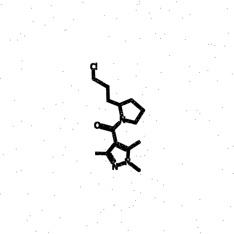 Cc1nn(C)c(C)c1C(=O)N1CCCC1CCCCl